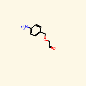 Nc1ccc(COC[C]=O)cc1